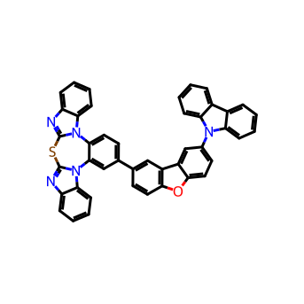 c1ccc2c(c1)nc1sc3nc4ccccc4n3c3cc(-c4ccc5oc6ccc(-n7c8ccccc8c8ccccc87)cc6c5c4)ccc3n12